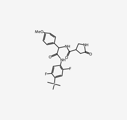 COc1ccc(C(NC(=O)C2CNC(=O)C2)C(=O)Nc2cc(F)c(S(C)(C)C)cc2F)cc1